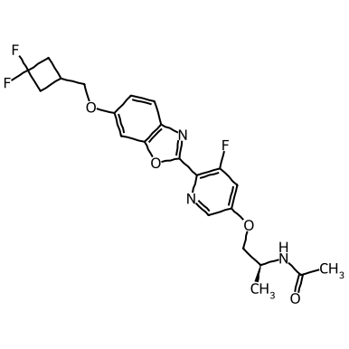 CC(=O)N[C@@H](C)COc1cnc(-c2nc3ccc(OCC4CC(F)(F)C4)cc3o2)c(F)c1